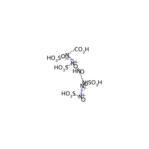 CC1(C)C(/C=C/C=C2/N(CCCCCC(=O)O)c3ccc(S(=O)(=O)O)cc3C2(C)C)=[N+](CCCS(=O)(=O)O)c2ccc(CNC(=O)CCCCC[n+]3cc(S(=O)(=O)O)cc4c3N=C(/C=C/C=C3/N(CCCS(=O)(=O)O)c5ccccc5C3(C)C)C4(C)C)cc21